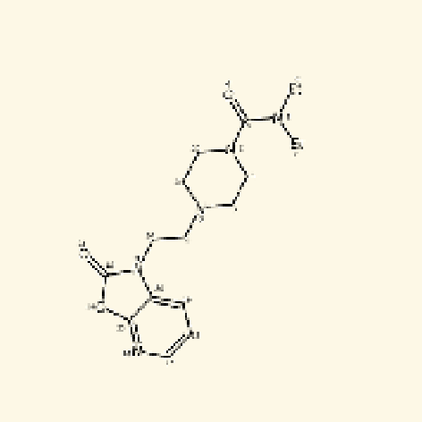 CCN(CC)C(=O)N1CCN(CCn2c(=O)oc3ncccc32)CC1